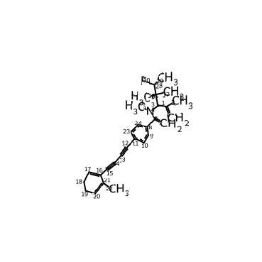 C=C(C)C(N(C)C(=C)c1ccc(C#CC#CC2=CCCC=C2C)cc1)C(C)(C)C(C)F